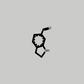 O=Cc1ccc2c(c1)NCC2